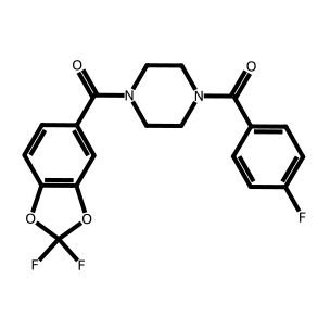 O=C(c1ccc(F)cc1)N1CCN(C(=O)c2ccc3c(c2)OC(F)(F)O3)CC1